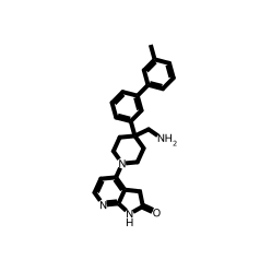 Cc1cccc(-c2cccc(C3(CN)CCN(c4ccnc5c4CC(=O)N5)CC3)c2)c1